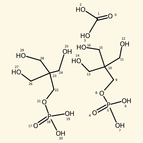 O=C(O)O.O=P(O)(O)OCC(CO)(CO)CO.O=P(O)(O)OCC(CO)(CO)CO